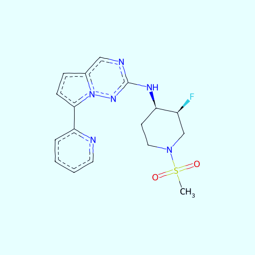 CS(=O)(=O)N1CC[C@@H](Nc2ncc3ccc(-c4ccccn4)n3n2)[C@@H](F)C1